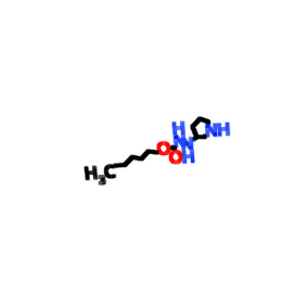 CCCCCCCOC(=O)NNC1CCCNC1